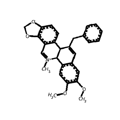 COc1cc2c(cc1OC)C1C(C(Cc3ccccc3)=C2)c2ccc3c(c2C=[N+]1C)OCO3